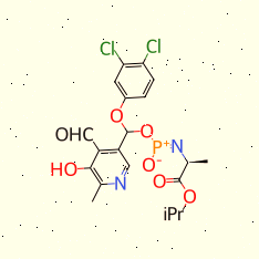 Cc1ncc(C(Oc2ccc(Cl)c(Cl)c2)O[P+]([O-])=N[C@@H](C)C(=O)OC(C)C)c(C=O)c1O